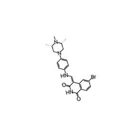 C[C@@H]1CN(c2ccc(NC=C3C(=O)NC(=O)c4ccc(Br)cc43)cc2)C[C@H](C)N1C